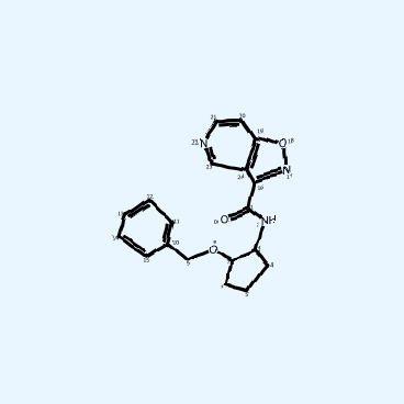 O=C(NC1CCCC1OCc1ccccc1)c1noc2ccncc12